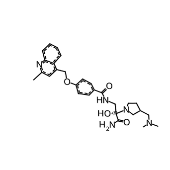 Cc1cc(COc2ccc(C(=O)NC[C@](O)(C(N)=O)N3CCC(CN(C)C)C3)cc2)c2ccccc2n1